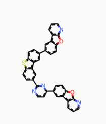 c1cnc2oc3ccc(-c4ccc5sc6ccc(-c7nccc(-c8ccc9oc%10ncccc%10c9c8)n7)cc6c5c4)cc3c2c1